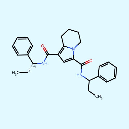 CCC(NC(=O)c1cc(C(=O)N[C@H](CC)c2ccccc2)c2n1CCCC2)c1ccccc1